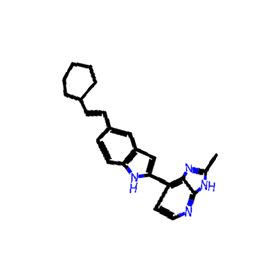 Cc1nc2c(-c3cc4cc(/C=C/C5CCCCC5)ccc4[nH]3)ccnc2[nH]1